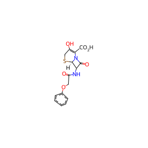 O=C(COc1ccccc1)NC1C(=O)N2C(C(=O)O)=C(O)CS[C@H]12